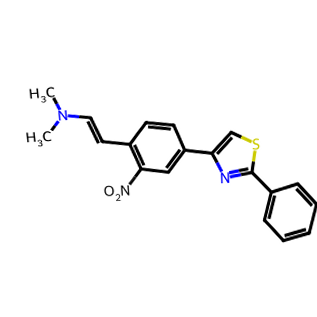 CN(C)/C=C/c1ccc(-c2csc(-c3ccccc3)n2)cc1[N+](=O)[O-]